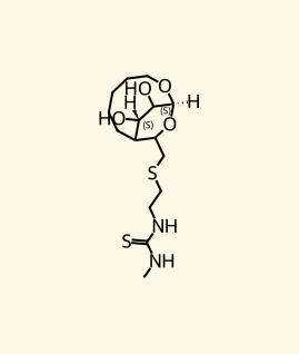 CNC(=S)NCCSCC1O[C@@H]2OCCCCCC1[C@H](O)C2O